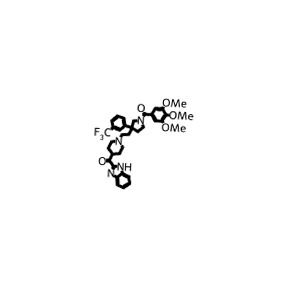 COc1cc(C(=O)N2CCC(CCN3CCC(C(=O)c4nc5ccccc5[nH]4)CC3)(c3cccc(C(F)(F)F)c3)C2)cc(OC)c1OC